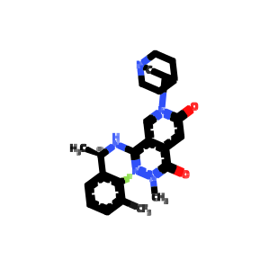 C[C@@H](Nc1nn(C)c(=O)c2cc(=O)n(C3CN4CCC3CC4)cc12)c1cccc(C(F)(F)F)c1F